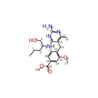 CCCC(CO)Nc1nc(N)nc(C)c1Cc1ccc(C(=O)OC)cc1OC